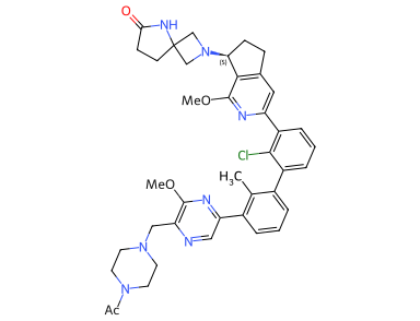 COc1nc(-c2cccc(-c3cccc(-c4cc5c(c(OC)n4)[C@@H](N4CC6(CCC(=O)N6)C4)CC5)c3Cl)c2C)cnc1CN1CCN(C(C)=O)CC1